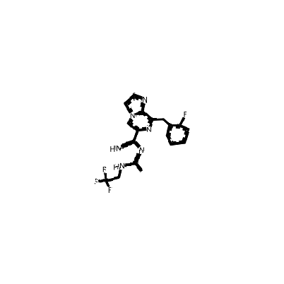 C/C(=N/C(=N)c1cn2ccnc2c(Cc2ccccc2F)n1)NCC(F)(F)F